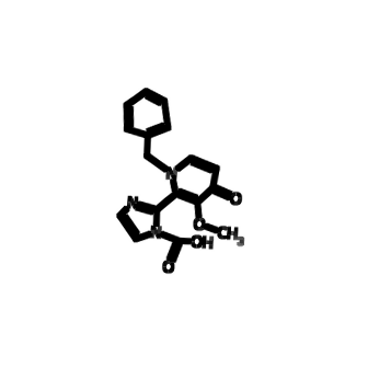 COc1c(-c2nccn2C(=O)O)n(Cc2ccccc2)ccc1=O